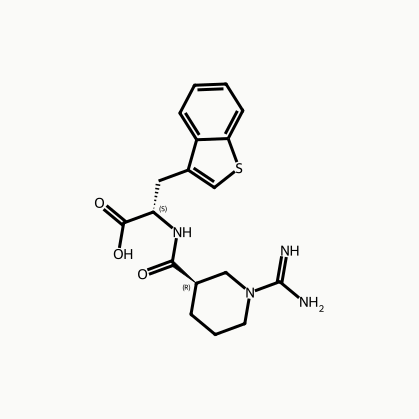 N=C(N)N1CCC[C@@H](C(=O)N[C@@H](Cc2csc3ccccc23)C(=O)O)C1